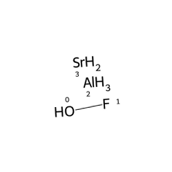 OF.[AlH3].[SrH2]